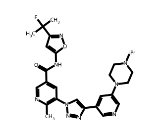 Cc1ncc(C(=O)Nc2cc(C(C)(C)F)no2)cc1-n1cc(-c2cncc(N3CCN(C(C)C)CC3)c2)nn1